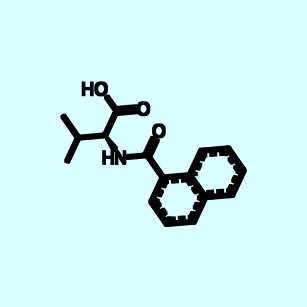 CC(C)[C@H](NC(=O)c1cccc2ccccc12)C(=O)O